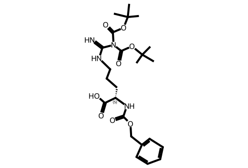 CC(C)(C)OC(=O)N(C(=N)NCCC[C@H](NC(=O)OCc1ccccc1)C(=O)O)C(=O)OC(C)(C)C